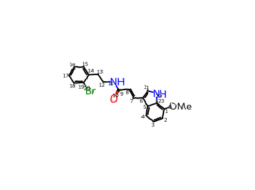 COc1cccc2c(/C=C/C(=O)NCCc3ccccc3Br)c[nH]c12